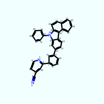 N#Cc1ccnc(-c2cccc(-c3ccc4c5c6ccccc6ccc5n(-c5ccccc5)c4c3)c2)c1